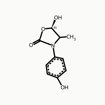 CC1[C@H](O)OC(=O)N1c1ccc(O)cc1